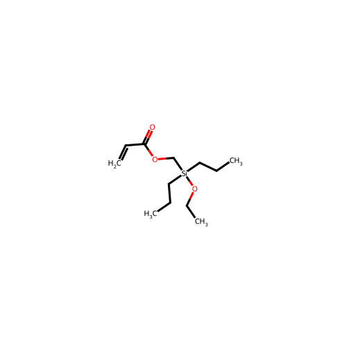 C=CC(=O)OC[Si](CCC)(CCC)OCC